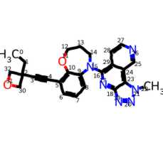 CCC1(C#Cc2cccc3c2OCCCN3c2nc3nnn(C)c3c3cnccc23)COC1